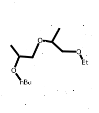 CCCCOC(C)COC(C)COCC